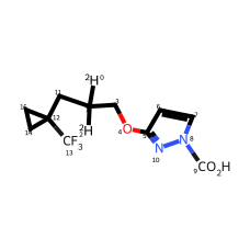 [2H]C([2H])(COc1ccn(C(=O)O)n1)CC1(C(F)(F)F)CC1